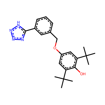 CC(C)(C)c1cc(OCc2cccc(-c3nnn[nH]3)c2)cc(C(C)(C)C)c1O